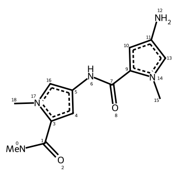 CNC(=O)c1cc(NC(=O)c2cc(N)cn2C)cn1C